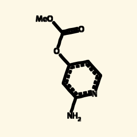 COC(=O)Oc1ccnc(N)c1